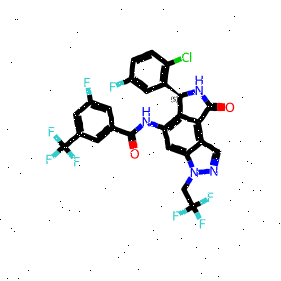 O=C(Nc1cc2c(cnn2CC(F)(F)F)c2c1[C@@H](c1cc(F)ccc1Cl)NC2=O)c1cc(F)cc(C(F)(F)F)c1